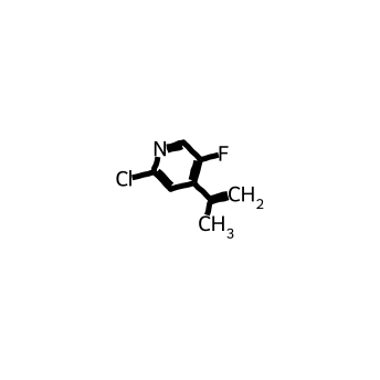 C=C(C)c1cc(Cl)ncc1F